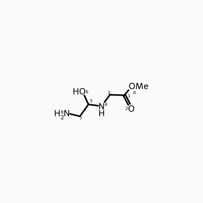 COC(=O)CNC(O)CN